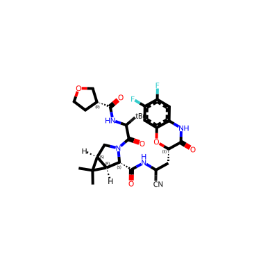 CC(C)(C)C(NC(=O)[C@@H]1CCOC1)C(=O)N1C[C@H]2[C@@H]([C@H]1C(=O)NC(C#N)C[C@@H]1Oc3cc(F)c(F)cc3NC1=O)C2(C)C